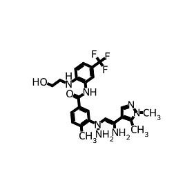 Cc1ccc(C(=O)Nc2cc(C(F)(F)F)ccc2NCCO)cc1N(N)/C=C(\N)c1cnn(C)c1C